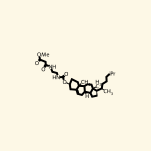 COC(=O)CC(=O)NCCNC(=O)O[C@H]1CC[C@@]2(C)C(=CC[C@@H]3C2CC[C@@]2(C)C3CC[C@@H]2[C@H](C)CCCC(C)C)C1